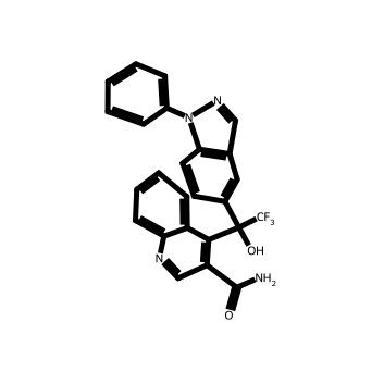 NC(=O)c1cnc2ccccc2c1C(O)(c1ccc2c(cnn2-c2ccccc2)c1)C(F)(F)F